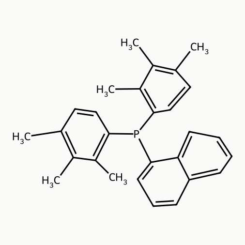 Cc1ccc(P(c2ccc(C)c(C)c2C)c2cccc3ccccc23)c(C)c1C